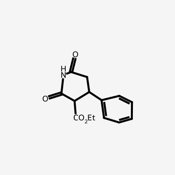 CCOC(=O)C1C(=O)NC(=O)CC1c1ccccc1